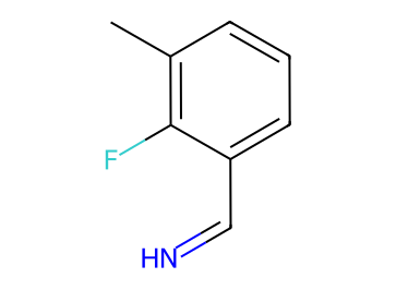 Cc1cccc(C=N)c1F